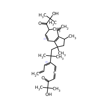 C=C/C=C(\C=C=CC(=O)C(C)(C)O)C(C)(C)CC1(C)CC(C)C(C=C)=C1/C=C\C(C)C(=O)C(C)(C)O